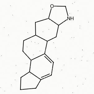 C1=C2CCCC2C2CCC3CC4OCNC4CC3C2=C1